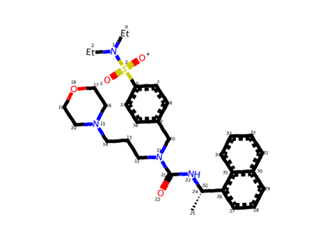 CCN(CC)S(=O)(=O)c1ccc(CN(CCCN2CCOCC2)C(=O)N[C@@H](C)c2cccc3ccccc23)cc1